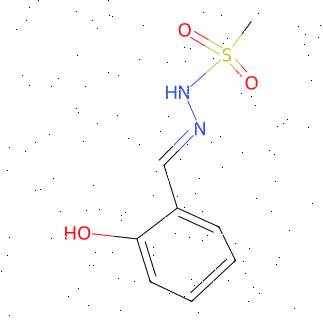 CS(=O)(=O)NN=Cc1ccccc1O